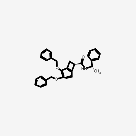 C[C@H](NC(=O)[C@@H]1Cc2c1ccc(OCc1ccccc1)c2OCc1ccccc1)c1ccccc1